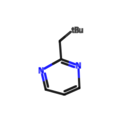 CC(C)(C)Cc1ncccn1